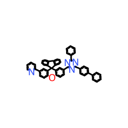 c1ccc(-c2ccc(-c3nc(-c4ccccc4)nc(-c4ccc5c(c4)C4(c6cc(-c7ccccn7)ccc6O5)c5ccccc5-c5ccccc54)n3)cc2)cc1